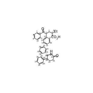 CCC(CC(C(=O)c1ccccc1)c1ccccc1)C(=O)O.O=C1CC[C@@H](c2ccccc2)[C@H](c2ccccc2)N1